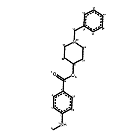 CNc1ccc(C(=O)OC2CCN(Cc3ccccc3)CC2)cc1